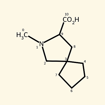 CN1CC2(CCCC2)CC1C(=O)O